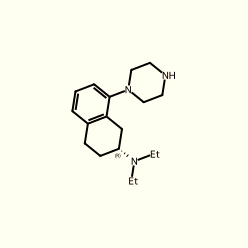 CCN(CC)[C@@H]1CCc2cccc(N3CCNCC3)c2C1